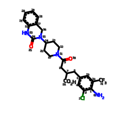 Nc1c(Cl)cc(CC(CC(=O)N2CCC(N3Cc4ccccc4NC3=O)CC2)C(=O)O)cc1C(F)(F)F